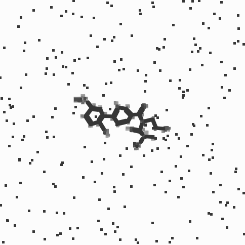 CC(C)CCN(C(=O)c1ccc(-c2cc(C(=O)O)ccc2Cl)nc1)C(=O)N(C)C#N